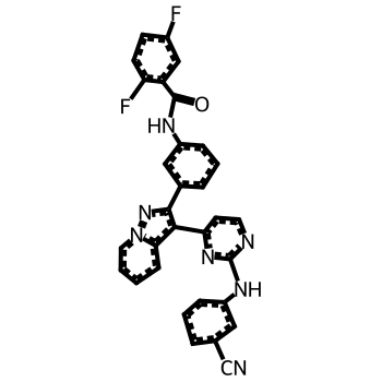 N#Cc1cccc(Nc2nccc(-c3c(-c4cccc(NC(=O)c5cc(F)ccc5F)c4)nn4ccccc34)n2)c1